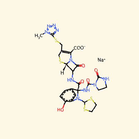 Cn1nnnc1SCC1=C(C(=O)[O-])N2C(=O)C(NC(=O)C3(NC(=O)N4CCNC4=O)c4ccc(O)c(c4)N3C3SCCS3)[C@@H]2SC1.[Na+]